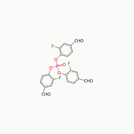 O=Cc1ccc(OP(=O)(Oc2ccc(C=O)cc2F)Oc2ccc(C=O)cc2F)c(F)c1